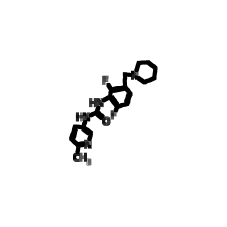 Cc1ccc(NC(=O)Nc2c(F)ccc(CN3CCCCC3)c2F)cn1